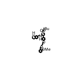 COc1ccccc1COCCCOc1ccc(C2CCN(C(=O)OC(C)(C)C)C[C@@H]2NCc2ccc3c(c2)NCCC3)cc1